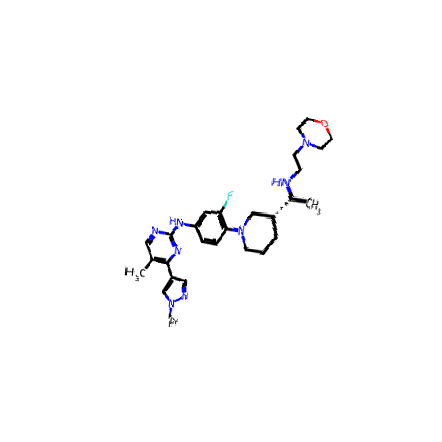 Cc1cnc(Nc2ccc(N3CCC[C@@H](C(C)NCCN4CCOCC4)C3)c(F)c2)nc1-c1cnn(C(C)C)c1